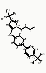 CCCCn1nc(C(F)(F)F)cc1SC1CCN(c2ccc(C(F)(F)F)cn2)CC1